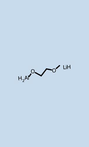 COCC[O][AlH2].[LiH]